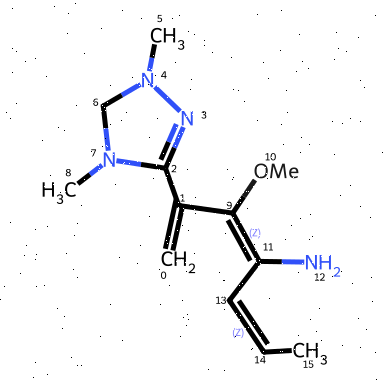 C=C(C1=NN(C)CN1C)/C(OC)=C(N)\C=C/C